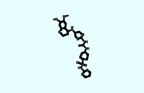 COc1cc2ncnc(Nc3cnc(NC(=S)Nc4ccc(S(=O)(=O)Nc5ncccn5)cc4)nc3)c2cc1OC